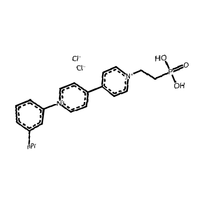 CCCc1cccc(-[n+]2ccc(-c3cc[n+](CCP(=O)(O)O)cc3)cc2)c1.[Cl-].[Cl-]